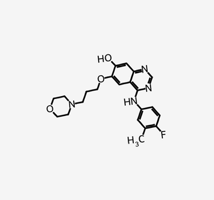 Cc1cc(Nc2ncnc3cc(O)c(OCCCN4CCOCC4)cc23)ccc1F